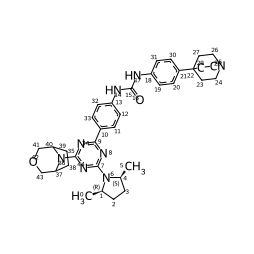 C[C@@H]1CC[C@H](C)N1c1nc(-c2ccc(NC(=O)Nc3ccc(C45CCN(CC4)CC5)cc3)cc2)nc(N2C3CCC2COC3)n1